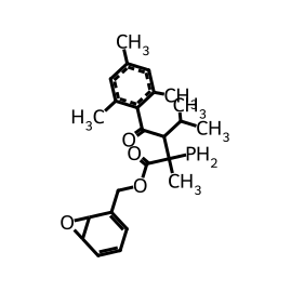 Cc1cc(C)c(C(=O)C(C(C)C)C(C)(P)C(=O)OCC2=CC=CC3OC23)c(C)c1